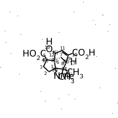 CN[C@@]12CC[C@@H](C(=O)O)[C@]13C[C@@H](C(C(=O)O)=C[C@@H]3O)C2(C)C